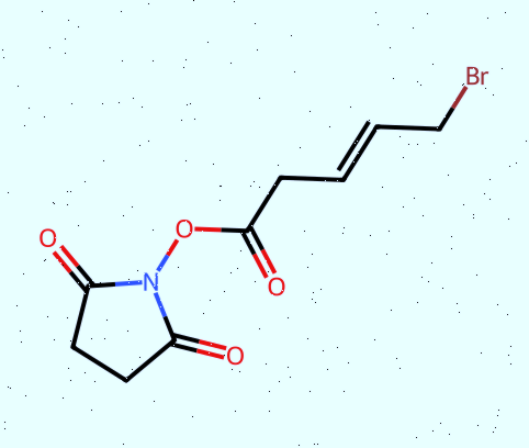 O=C(CC=CCBr)ON1C(=O)CCC1=O